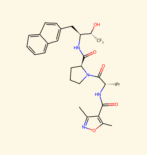 Cc1noc(C)c1C(=O)N[C@H](C(=O)N1CCC[C@H]1C(=O)N[C@@H](Cc1ccc2ccccc2c1)[C@H](O)C(F)(F)F)C(C)C